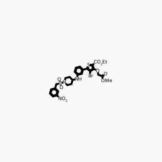 CCOC(=O)c1sc(-c2cccc(NC3CCN(S(=O)(=O)Cc4cccc([N+](=O)[O-])c4)CC3)c2)c(Br)c1OCC(=O)OC